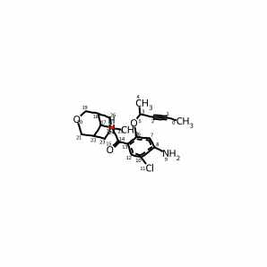 CC#CC(C)Oc1cc(N)c(Cl)cc1C(=O)NC1C2COCC1CN(C)C2